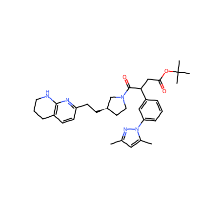 Cc1cc(C)n(-c2cccc(C(CC(=O)OC(C)(C)C)C(=O)N3CC[C@@H](CCc4ccc5c(n4)NCCC5)C3)c2)n1